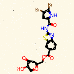 O=C(OCc1cc(=O)c(O)co1)c1ccc2nc(NC(=O)c3cc(Br)c(Br)[nH]3)sc2c1